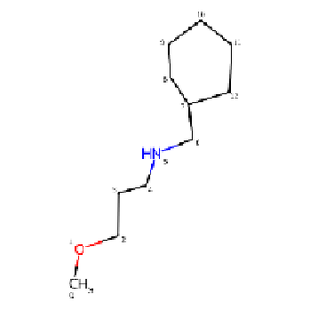 COCCCNCC1CCCCC1